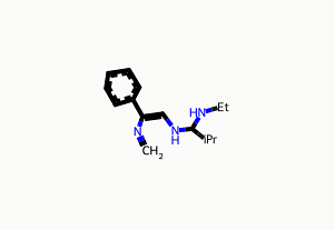 C=N/C(=C\NC(NCC)C(C)C)c1ccccc1